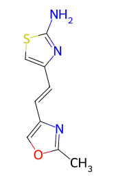 Cc1nc(/C=C/c2csc(N)n2)co1